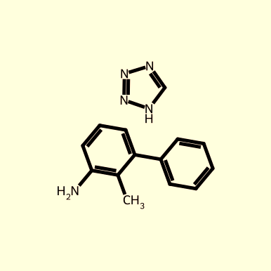 Cc1c(N)cccc1-c1ccccc1.c1nnn[nH]1